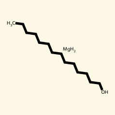 CCCCCCCCCCCCCCO.[MgH2]